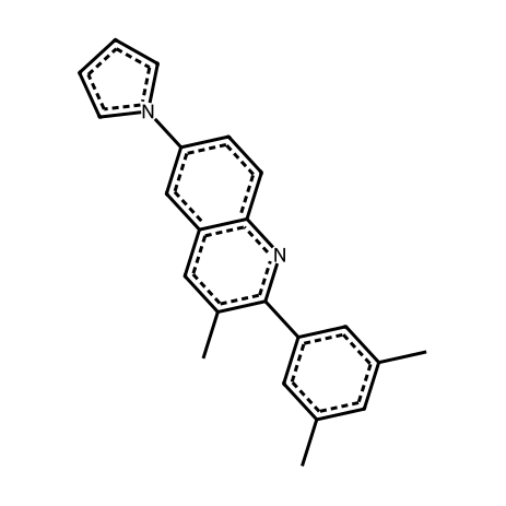 Cc1cc(C)cc(-c2nc3ccc(-n4cccc4)cc3cc2C)c1